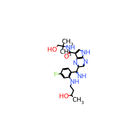 CC(O)CCNc1cc(F)ccc1C(=N)c1cnc2[nH]cc(C(=O)NC(C)(C)CO)c2n1